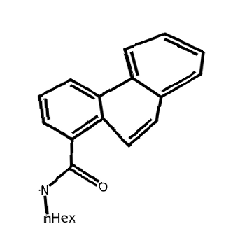 CCCCCC[N]C(=O)c1cccc2c1ccc1ccccc12